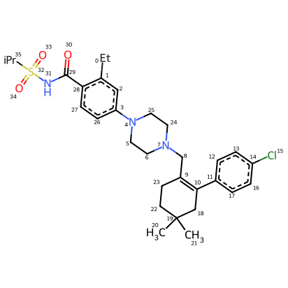 CCc1cc(N2CCN(CC3=C(c4ccc(Cl)cc4)CC(C)(C)CC3)CC2)ccc1C(=O)NS(=O)(=O)C(C)C